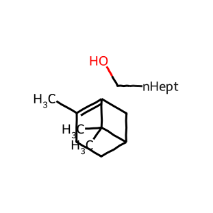 CC1=C2CC(CC1)C2(C)C.CCCCCCCCO